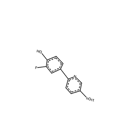 CCCCCCCCc1ccc(-c2ccc(O)c(F)c2)nc1